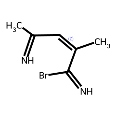 CC(=N)/C=C(/C)C(=N)Br